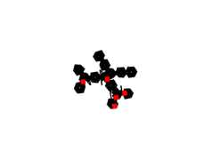 c1ccc(-c2ccc(-c3cc(-c4ccc(-c5ccccc5)cc4)c4nc(-c5ccc(-c6cc(-c7ccccc7)cc(-c7ccccc7)n6)cc5)nc(-c5ccc(-c6nc(-c7ccccc7)cc(-c7ccccc7)n6)cc5)c4c3)cc2)cc1